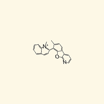 Cc1ccc2c(oc3ncccc32)c1-c1ccc2ccccc2[n+]1C